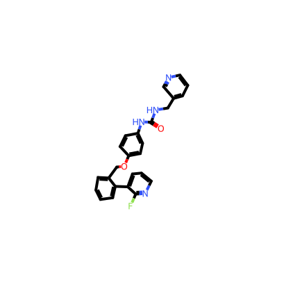 O=C(NCc1cccnc1)Nc1ccc(OCc2ccccc2-c2cccnc2F)cc1